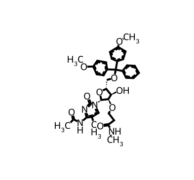 CNC(=O)CCO[C@@H]1[C@H](O)[C@@H](COC(c2ccccc2)(c2ccc(OC)cc2)c2ccc(OC)cc2)O[C@H]1n1cc(C)c(NC(C)=O)nc1=O